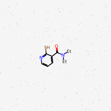 CCN(CC)C(=O)c1cccnc1S